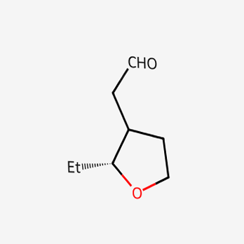 CC[C@H]1OCCC1CC=O